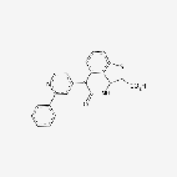 O=C(O)C1Sc2nccc3c2C1NC(=O)N3c1ccnc(-c2ccccc2)c1